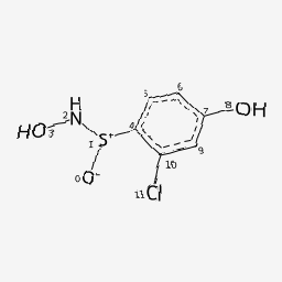 [O-][S+](NO)c1ccc(O)cc1Cl